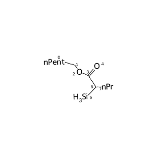 CCCCCCOC(=O)C([SiH3])CCC